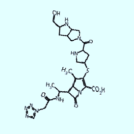 CC(NC(=O)Cn1cnnn1)C1C(=O)N2C(C(=O)O)=C(SC3CNC(C(=O)N4CC5CC(CO)NC5C4)C3)C(C)C12